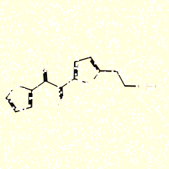 O=CCCc1ccc(C(=O)C(=O)c2cccs2)s1